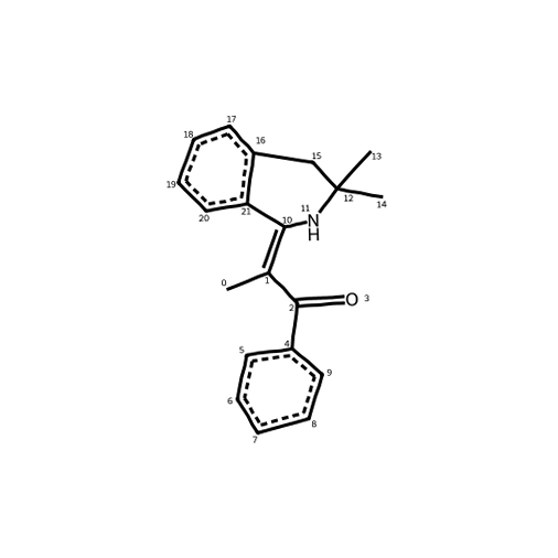 C/C(C(=O)c1ccccc1)=C1/NC(C)(C)Cc2ccccc21